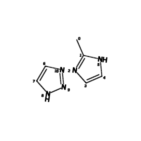 Cc1ncc[nH]1.c1c[nH]nn1